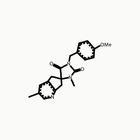 COc1ccc(CN2C(=O)N(C)C3(Cc4cc(C)cnc4C3)C2=O)cc1